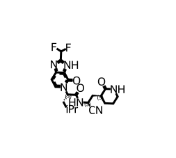 CC(C)C[C@@H](C(=O)N[C@H](C#N)C[C@@H]1CCCNC1=O)n1ccc2nc(C(F)F)[nH]c2c1=O